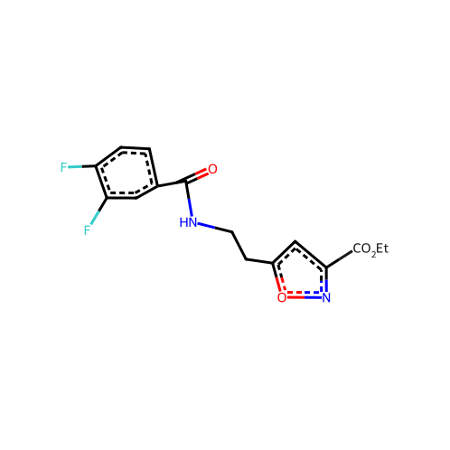 CCOC(=O)c1cc(CCNC(=O)c2ccc(F)c(F)c2)on1